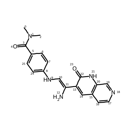 CN(C)C(=O)c1ccc(N/C=C(\N)c2cc3ccncc3[nH]c2=O)cc1